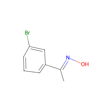 CC(=NO)c1cccc(Br)c1